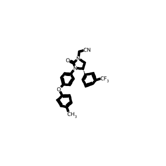 Cc1ccc(Oc2ccc(N3C(=O)N(CC#N)C[C@@H]3c3cccc(C(F)(F)F)c3)cc2)cc1